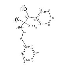 CC(C)(NCCc1ccccc1)C(O)c1ccccc1